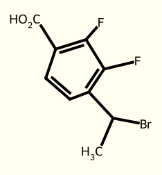 CC(Br)c1ccc(C(=O)O)c(F)c1F